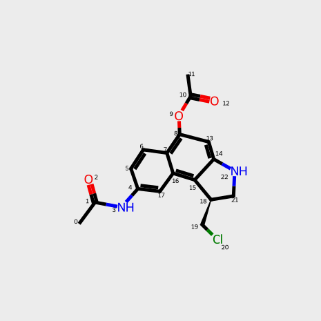 CC(=O)Nc1ccc2c(OC(C)=O)cc3c(c2c1)[C@H](CCl)CN3